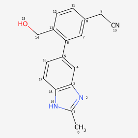 Cc1nc2cc(-c3cc(CC#N)ccc3CO)ccc2[nH]1